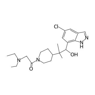 CCN(CC)CC(=O)N1CCC(C(C)(C)C(O)c2cc(Cl)cc3cn[nH]c23)CC1